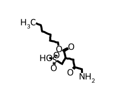 CCCCCCOC(=O)C(CC(=O)CN)CS(=O)(=O)O